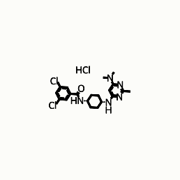 Cc1nc(N[C@H]2CC[C@@H](NC(=O)c3cc(Cl)cc(Cl)c3)CC2)cc(N(C)C)n1.Cl